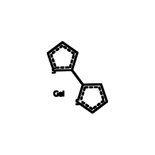 [Ge].c1csc(-c2cccs2)c1